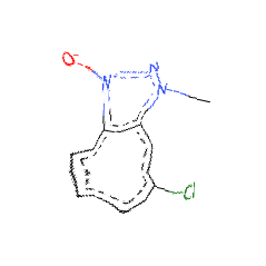 Cn1n[n+]([O-])c2cccc(Cl)c21